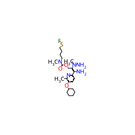 Cc1nc(/C(N)=C(\COC(=O)N(C)CCCCSF)N(C)N)ccc1OC1CCCCC1